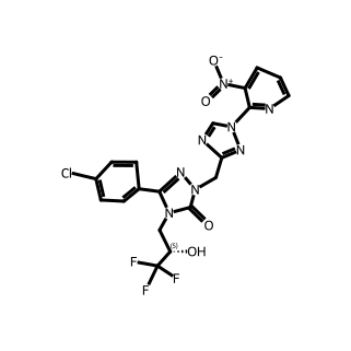 O=c1n(Cc2ncn(-c3ncccc3[N+](=O)[O-])n2)nc(-c2ccc(Cl)cc2)n1C[C@H](O)C(F)(F)F